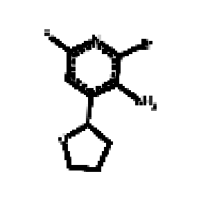 Nc1c([C@H]2CCCO2)cc(F)nc1Br